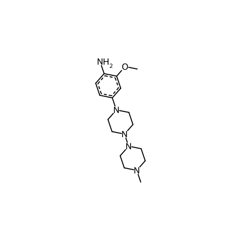 COc1cc(N2CCN(N3CCN(C)CC3)CC2)ccc1N